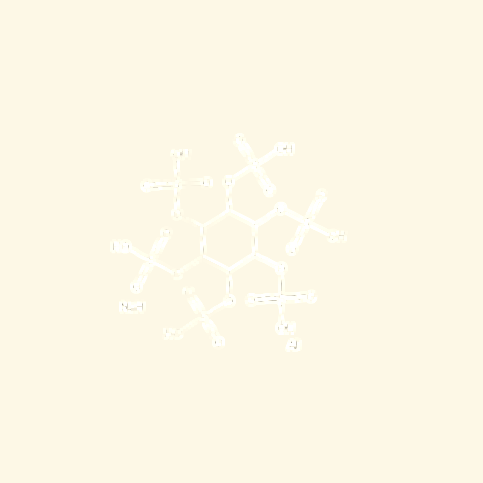 O=S(=O)(O)OC1C(OS(=O)(=O)O)C(OS(=O)(=O)O)C(OS(=O)(=O)O)C(OS(=O)(=O)O)C1OS(=O)(=O)O.[Al].[NaH]